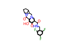 O=C(NCc1c(F)cc(F)cc1F)c1cn2c(c(O)c1=O)C(=O)N1C3CCC(C3)C1C2